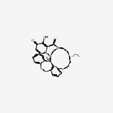 C[C@@H]1CCOc2cccc3c2[C@H](c2ccccc2SC3)N2CN(CC1)C(=O)c1c(O)c(=O)ccn12